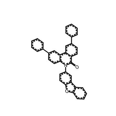 O=c1c2ccc(-c3ccccc3)cc2c2cc(-c3ccccc3)ccc2n1-c1ccc2oc3ccccc3c2c1